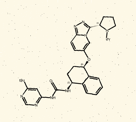 CC(C)N1CCC[C@H]1c1nnc2ccc(O[C@@H]3CC[C@H](NC(=O)Nc4cc(C(C)(C)C)ncn4)c4ccccc43)cn12